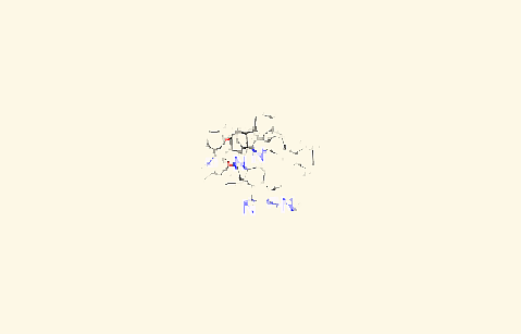 C=C(/C=C\c1c(C)n(-c2cc(C#N)c(C(=C)/C=C(/C)N=C(C)C)cc2-n2c3cc(-c4ccccc4)ccc3c3ccc(-c4ccccc4)cc32)c2cc(-c3ccccc3)ccc12)c1ccccc1